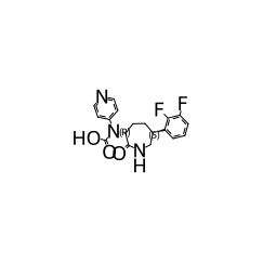 O=C1NC[C@H](c2cccc(F)c2F)CC[C@H]1N(C(=O)O)c1ccncc1